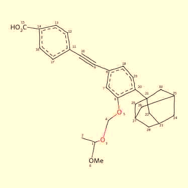 COC(C)OCOc1cc(C#Cc2ccc(C(=O)O)cc2)ccc1C12CC3CC(CC(C3)C1)C2